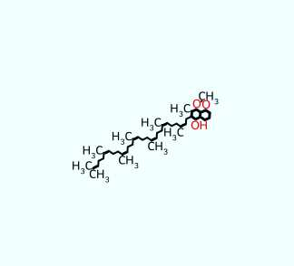 CC(=O)Oc1c(C)c(CC=C(C)CCC=C(C)CCC=C(C)CCC=C(C)CCC=C(C)CCC=C(C)CCC=C(C)C)c(O)c2ccccc12